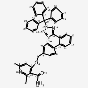 Cc1cc(OCc2ccc(-c3ccccc3-c3nnn(C(c4ccccc4)(c4ccccc4)c4ccccc4)n3)cc2)c(C(N)=O)c(C)n1